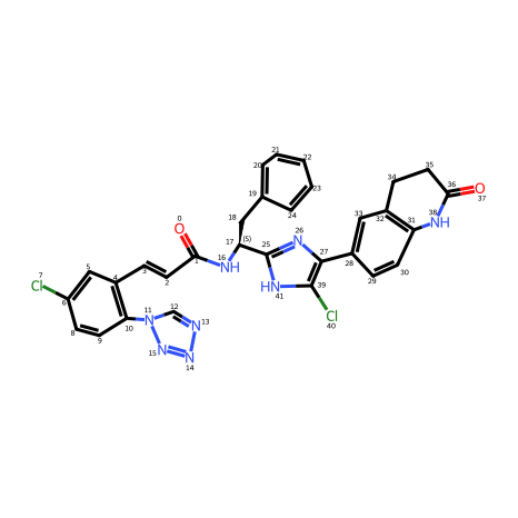 O=C(C=Cc1cc(Cl)ccc1-n1cnnn1)N[C@@H](Cc1ccccc1)c1nc(-c2ccc3c(c2)CCC(=O)N3)c(Cl)[nH]1